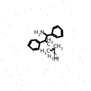 CC(c1ccccc1)C(N)c1ccccc1.CN(C)C.I